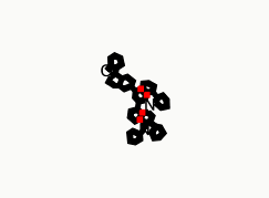 C1=CC2c3c(oc4ccccc34)C=CC2C=C1c1ccc(N(c2ccc3c(c2)c2ccccc2n3-c2ccccc2)c2ccccc2-c2ccccc2)c(-c2ccccc2)c1